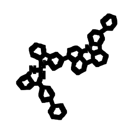 c1ccc(-c2ccc(-c3nc(-n4c5ccccc5c5cc(-c6ccc7c8c6cccc8c6cccc8c9cc(-c%10ccccc%10)ccc9n7c68)ccc54)nc4ccccc34)cc2)cc1